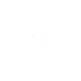 CC(=O)Nc1c(Br)c(C)c2c3c1nc(C)n3CCC2